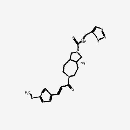 O=C(/C=C/c1ccc(OC(F)(F)F)cc1)N1CCC2CN(C(=O)NCc3cnn[nH]3)C[C@H]2CC1